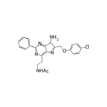 CC(=O)NCCc1nc(-c2ccccc2)nc2c1N=C(COc1ccc(Cl)cc1)C2N